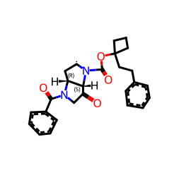 O=C1CN(C(=O)c2ccccc2)[C@@H]2C[CH]N(C(=O)OC3(CCc4ccccc4)CCC3)[C@H]12